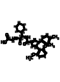 COc1cccc(OC)c1-c1cc(C(=O)NC(C(=O)NCC(=O)O)C2CCCCC2)nn1-c1ccc(C)cc1